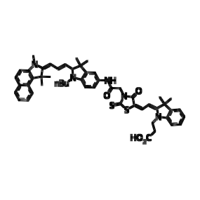 CCCCN1c2ccc(NC(=O)CN3C(=O)/C(=C\C=C4/N(CCC(=O)O)c5ccccc5C4(C)C)SC3=S)cc2C(C)(C)C1/C=C/C=C1/N(C)c2ccc3ccccc3c2C1(C)C